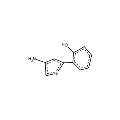 Nc1csc(-c2ccccc2O)c1